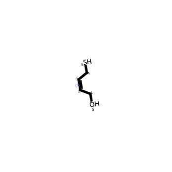 OC/C=C\CS